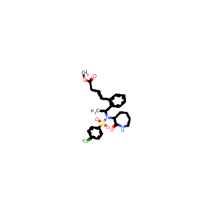 COC(=O)CCCc1ccccc1C(C)N(C1CCCCNC1=O)S(=O)(=O)c1ccc(Cl)cc1